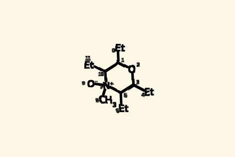 CCC1OC(CC)C(CC)[N+](C)([O-])C1CC